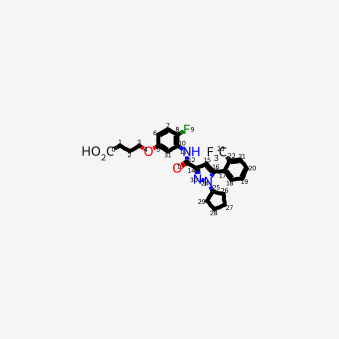 O=C(O)CCCOc1ccc(F)c(NC(=O)c2cc(-c3ccccc3C(F)(F)F)n(C3CCCC3)n2)c1